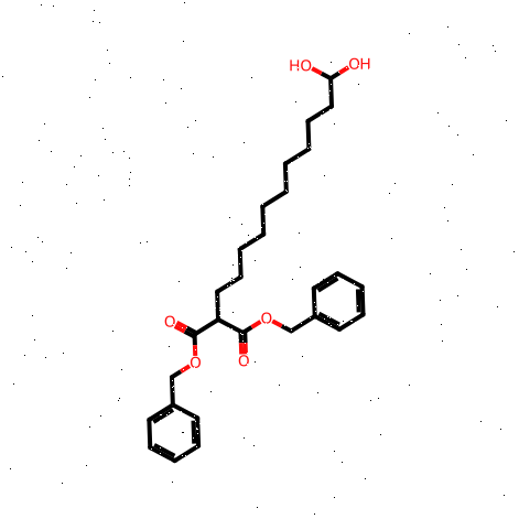 O=C(OCc1ccccc1)C(CCCCCCCCCCC(O)O)C(=O)OCc1ccccc1